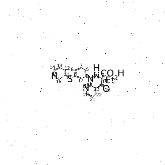 CCC1(C(=O)O)NN(c2cccc(Sc3cccnc3)c2)c2ncccc2C1=O